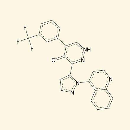 O=c1c(-c2cccc(C(F)(F)F)c2)c[nH]nc1-c1ccnn1-c1ccnc2ccccc12